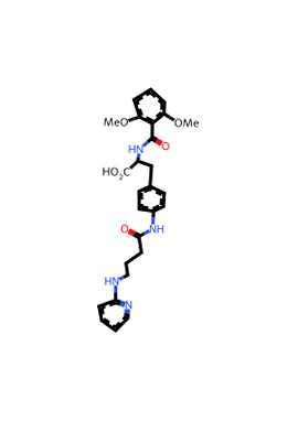 COc1cccc(OC)c1C(=O)NC(Cc1ccc(NC(=O)CCCNc2ccccn2)cc1)C(=O)O